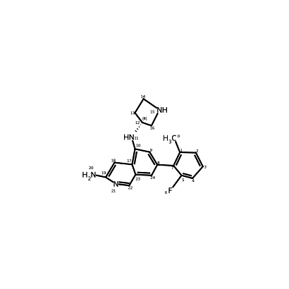 Cc1cccc(F)c1-c1cc(N[C@@H]2CCNC2)c2cc(N)ncc2c1